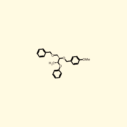 COc1ccc(CO[C@H](COCc2ccccc2)[C@H](C)Oc2ccccc2)cc1